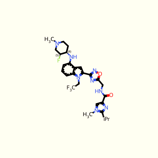 CC(C)c1nc(C(=O)NCc2nc(-c3cc4c(N[C@@H]5CCN(C)C[C@@H]5F)cccc4n3CC(F)(F)F)no2)cn1C